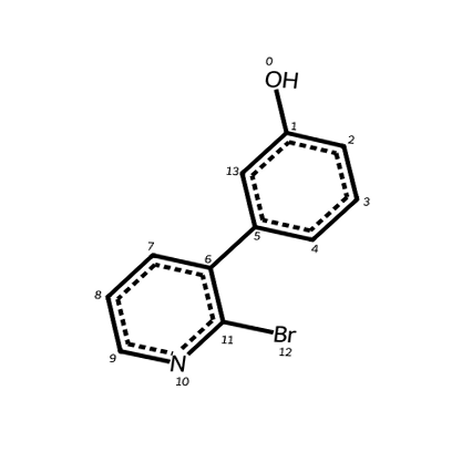 Oc1cccc(-c2cccnc2Br)c1